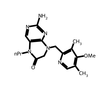 CCCN1C(=O)CN(Cc2ncc(C)c(OC)c2C)c2nc(N)ncc21